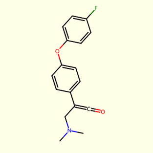 CN(C)CC(=C=O)c1ccc(Oc2ccc(F)cc2)cc1